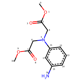 COC(=O)CN(CC(=O)OC)c1cccc(N)c1